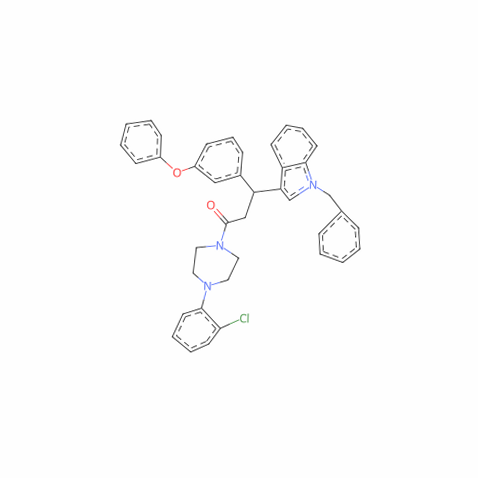 O=C(CC(c1cccc(Oc2ccccc2)c1)c1cn(Cc2ccccc2)c2ccccc12)N1CCN(c2ccccc2Cl)CC1